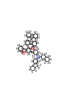 CC1(C)c2ccccc2-c2ccc(N(c3ccc4ccccc4c3)c3ccc4oc5c(-c6ccc7c(c6)C6(c8ccccc8-c8ccccc86)c6ccccc6-7)c6c(cc5c4c3)oc3ccccc36)cc21